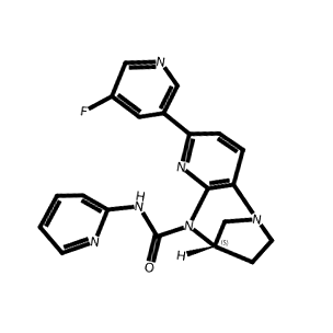 O=C(Nc1ccccn1)N1c2nc(-c3cncc(F)c3)ccc2N2CC[C@H]1C2